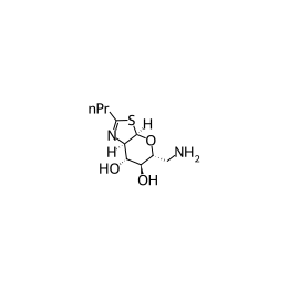 CCCC1=N[C@@H]2[C@@H](O)[C@H](O)[C@@H](CN)O[C@@H]2S1